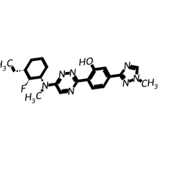 CC[C@@H]1CCC[C@H](N(C)c2cnc(-c3ccc(-c4ncn(C)n4)cc3O)nn2)[C@@H]1F